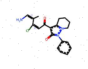 CC(=C/N)/C(Cl)=C\C(=O)c1c2n(n(-c3ccccc3)c1=O)CCCC2